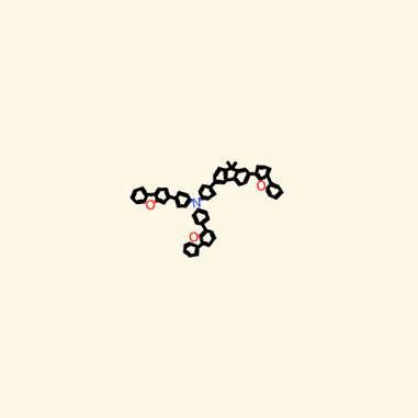 CC1(C)c2ccc(-c3ccc(N(c4ccc(-c5ccc6c(c5)oc5ccccc56)cc4)c4ccc(-c5cccc6c5oc5ccccc56)cc4)cc3)cc2-c2ccc(-c3cccc4c3oc3ccccc34)cc21